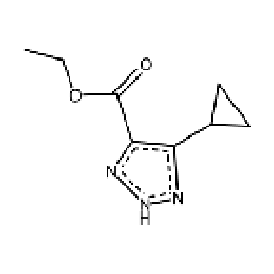 CCOC(=O)c1n[nH]nc1C1CC1